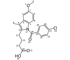 COc1ccc2c(c1)c(C)c(CCCC(=O)O)n2C(=O)c1ccc(Cl)cc1